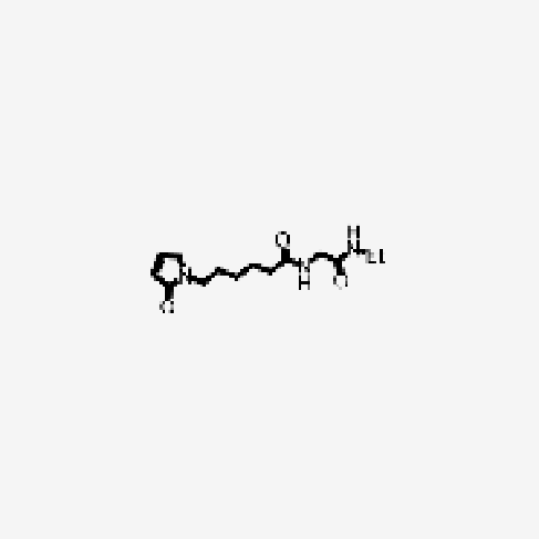 CCNC(=O)CNC(=O)CCCCCN1CC=CC1=O